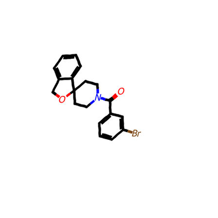 O=C(c1cccc(Br)c1)N1CCC2(CC1)OCc1ccccc12